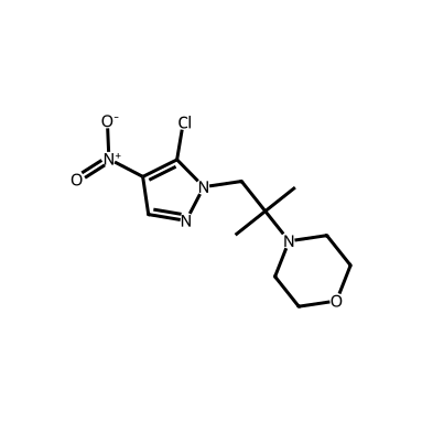 CC(C)(Cn1ncc([N+](=O)[O-])c1Cl)N1CCOCC1